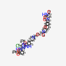 Cc1cc(Nc2ncc(Cl)c(Nc3ccccc3S(=O)(=O)C(C)C)n2)c(OC(C)C)cc1C1CCN(CCOCCC(=O)N2CCC3(CCc4cc5c(cc4O3)C(=O)N(C3CCC(=O)NC3=O)C5)CC2)CC1